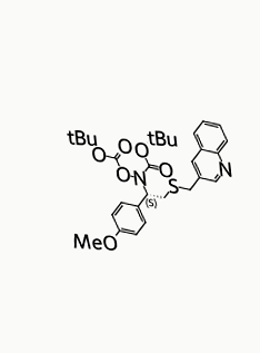 COc1ccc([C@@H](CSCc2cnc3ccccc3c2)N(OC(=O)OC(C)(C)C)C(=O)OC(C)(C)C)cc1